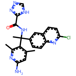 Cc1cc(N)nc(C)c1C(C)(NC(=O)c1nnc[nH]1)c1ccc2nc(Cl)ccc2c1